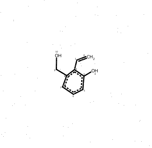 C=Cc1c(O)cccc1CO